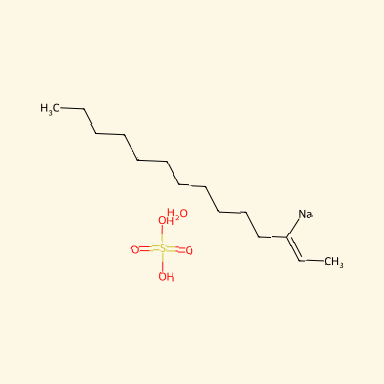 CC=[C]([Na])CCCCCCCCCCC.O.O=S(=O)(O)O